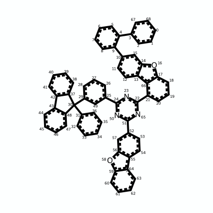 c1ccc(-c2ccccc2-c2ccc3c(c2)oc2cccc(-c4nc(-c5cccc(C6(c7ccccc7)c7ccccc7-c7ccccc76)c5)nc(-c5ccc6c(c5)oc5ccccc56)n4)c23)cc1